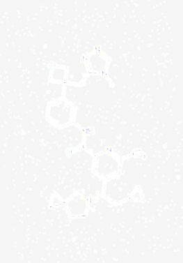 Cn1cnnc1CC1(c2cccc(NC(=O)c3cc(C(CC4CC4)N4CCC5(CC5)C4)cc(C(F)(F)F)n3)c2)COC1